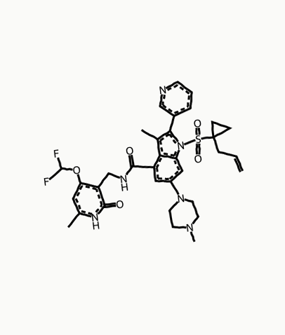 C=CCC1(S(=O)(=O)n2c(-c3cccnc3)c(C)c3c(C(=O)NCc4c(OC(F)F)cc(C)[nH]c4=O)cc(N4CCN(C)CC4)cc32)CC1